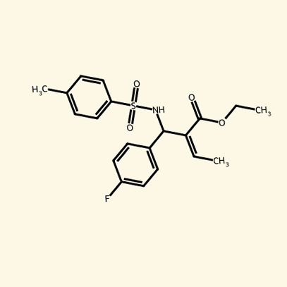 CC=C(C(=O)OCC)C(NS(=O)(=O)c1ccc(C)cc1)c1ccc(F)cc1